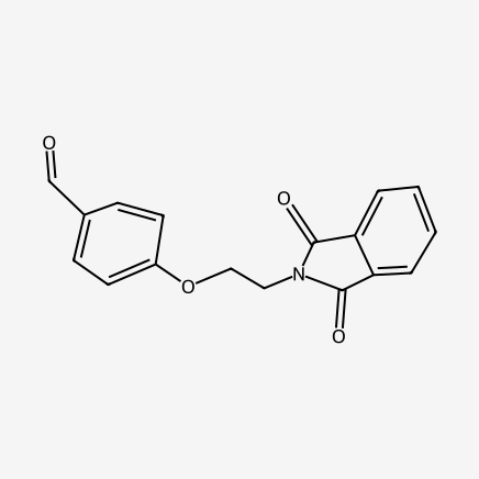 O=Cc1ccc(OCCN2C(=O)c3ccccc3C2=O)cc1